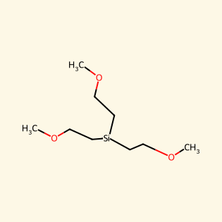 COCC[Si](CCOC)CCOC